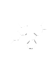 CCC(C)OC(=O)c1ccccc1C(=O)N(CC(C)O)CC(C)O